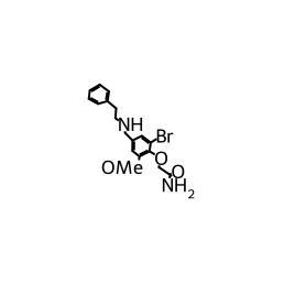 COc1cc(CNCCc2ccccc2)cc(Br)c1OCC(N)=O